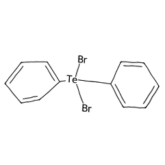 Br[Te](Br)(c1ccccc1)c1ccccc1